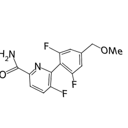 COCc1cc(F)c(-c2nc(C(N)=O)ccc2F)c(F)c1